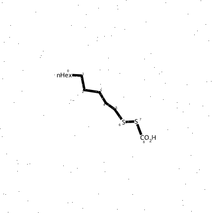 CCCCCCCCCCCSSC(=O)O